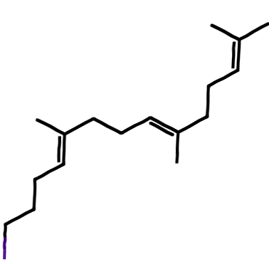 CC(C)=CCCC(C)=CCCC(C)=CCCCI